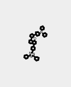 c1ccc(-c2nc(-c3ccccc3)nc(-c3ccc(-c4ccc5c6c(cccc46)-c4cccc(-c6ccc(N(c7ccccc7)c7ccccc7)cc6)c4O5)cc3)n2)cc1